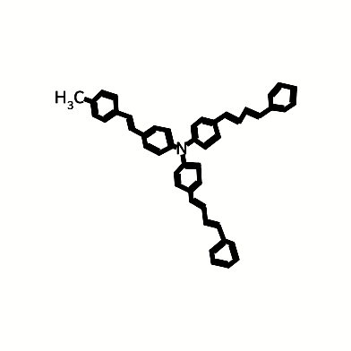 Cc1ccc(/C=C/c2ccc(N(c3ccc(/C=C/C=C/c4ccccc4)cc3)c3ccc(/C=C/C=C/c4ccccc4)cc3)cc2)cc1